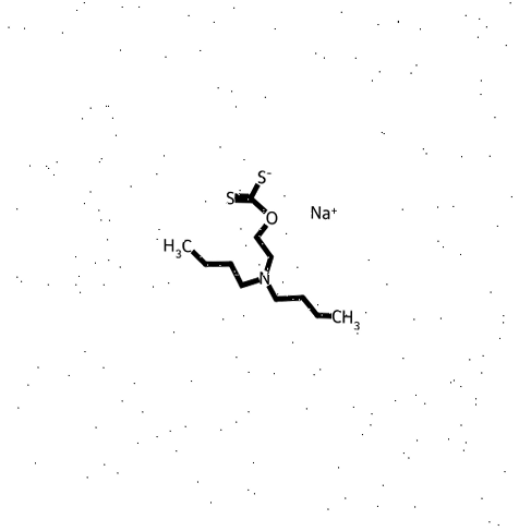 CCCCN(CCCC)CCOC(=S)[S-].[Na+]